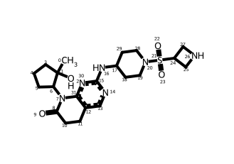 CC1(O)CCCC1N1C(=O)CCc2cnc(NC3CCN(S(=O)(=O)C4CNC4)CC3)nc21